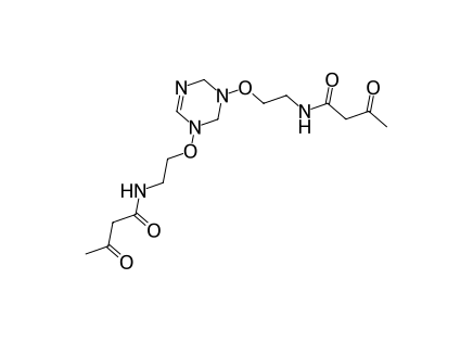 CC(=O)CC(=O)NCCON1C=NCN(OCCNC(=O)CC(C)=O)C1